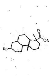 COC(=O)C1(C)CCCC2(C)C3CCC(C(C)C)CC3CCC12